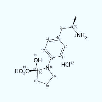 C[C@@H](N)Cc1ccc(N2CCC[C@@]2(O)C(=O)O)cc1.Cl